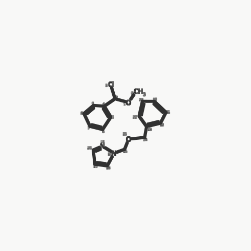 COC(Cl)c1ccccc1.c1ccc(COCn2cccn2)cc1